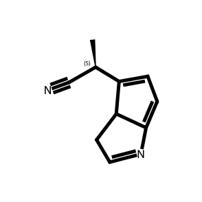 C[C@H](C#N)C1=CC=C2N=CCC21